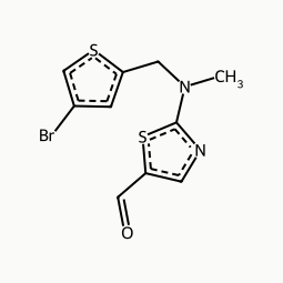 CN(Cc1cc(Br)cs1)c1ncc(C=O)s1